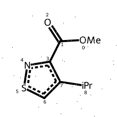 COC(=O)c1nscc1C(C)C